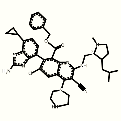 CC(C)CC1CCN(C)[C@@H]1CNc1nc2c(C(=O)OCc3ccccc3)c(-c3ccc(C4CC4)c4sc(N)nc34)c(Cl)cc2c(N2CCNCC2)c1C#N